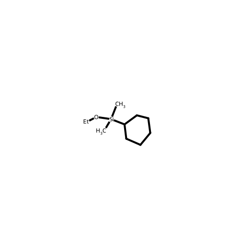 CCO[Si](C)(C)C1CCCCC1